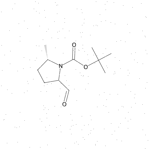 C[C@H]1CCC(C=O)N1C(=O)OC(C)(C)C